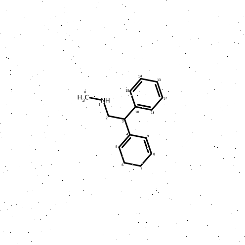 CNCC(C1=CCCC=C1)c1ccccc1